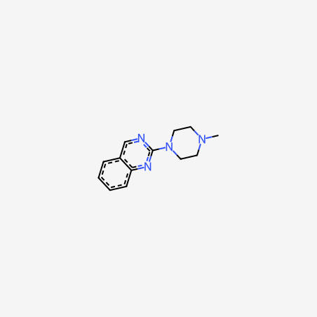 CN1CCN(c2ncc3ccccc3n2)CC1